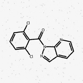 O=C(c1c(Cl)cccc1Cl)n1ncc2cccnc21